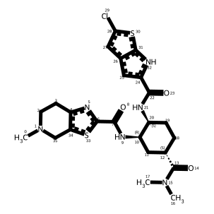 CN1CCc2nc(C(=O)N[C@@H]3C[C@@H](C(=O)N(C)C)CC[C@@H]3NC(=O)c3cc4cc(Cl)sc4[nH]3)sc2C1